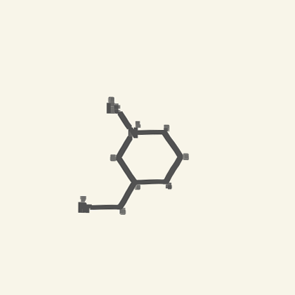 CCN1CCCC(CBr)C1